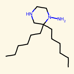 CCCCCCC1(CCCCCC)CNCCN1N